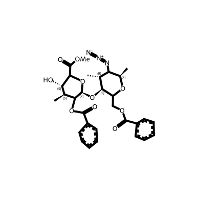 COC(=O)C1O[C@@H](O[C@@H]2C(COC(=O)c3ccccc3)O[C@H](C)C(N=[N+]=[N-])[C@H]2C)C(OC(=O)c2ccccc2)[C@@H](C)[C@@H]1O